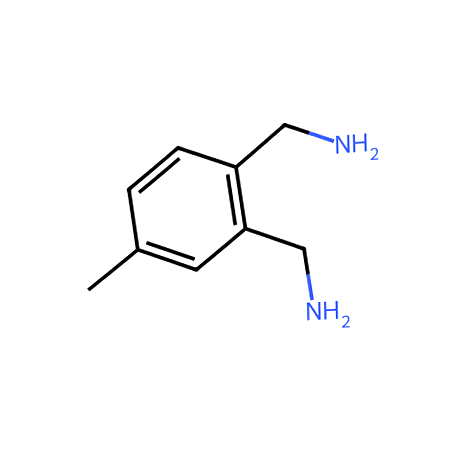 Cc1ccc(CN)c(CN)c1